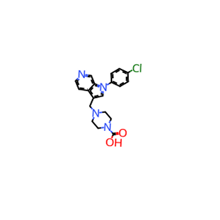 O=C(O)N1CCN(Cc2cn(-c3ccc(Cl)cc3)c3cnccc23)CC1